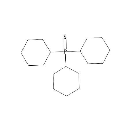 S=P(C1CCCCC1)(C1CCCCC1)C1CCCCC1